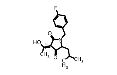 C/C(O)=C1\C(=O)C(CC(C)C)N(Cc2ccc(F)cc2)C1=O